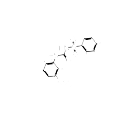 CCOC(=O)c1cccc(NC(=O)NS(=O)(=O)c2ccccc2)c1